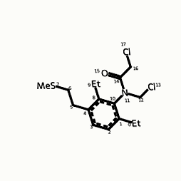 CCc1ccc(CCSC)c(CC)c1N(CCl)C(=O)CCl